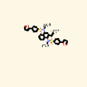 O=C(O)/C=C\c1cc(N(CC(=O)O)S(=O)(=O)c2ccc(-c3ccco3)cc2)c2ccccc2c1N(CC(=O)O)S(=O)(=O)c1ccc(-c2ccco2)cc1